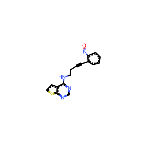 O=Nc1ccccc1C#CCCNc1ncnc2sccc12